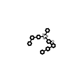 c1ccc(-c2ccc(-c3cccc4oc5cc(-c6nc(-c7ccccc7)nc(-c7ccc(-c8cccc(-c9ccccc9)c8)cc7)n6)ccc5c34)cc2)cc1